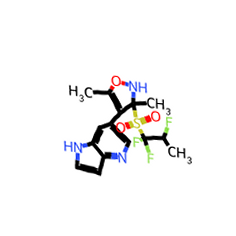 CC1=C(c2cnc3cc[nH]c3c2)C(C)(S(=O)(=O)C(F)(F)C(C)F)NO1